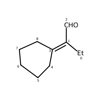 CCC(C=O)=C1CCCCC1